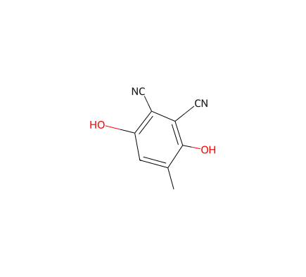 Cc1cc(O)c(C#N)c(C#N)c1O